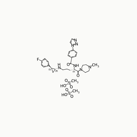 CN1CCN(C(=O)[C@H](CCCN[C@@H]2C[C@H]2c2ccc(F)cc2)NC(=O)c2ccc(-n3ccnn3)cc2)CC1.CS(=O)(=O)O.CS(=O)(=O)O